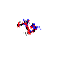 COC(=O)[C@@H](CCOc1ccc(-c2cnc(N)c(C(=O)Nc3cnccc3N3CCOCC3)n2)cc1)NC(=O)OCc1ccc(NC(=O)[C@H](CCCNC(N)=O)NC(=O)C(NC(=O)CCCCCN2C(=O)C=CC2=O)C(C)C)cc1